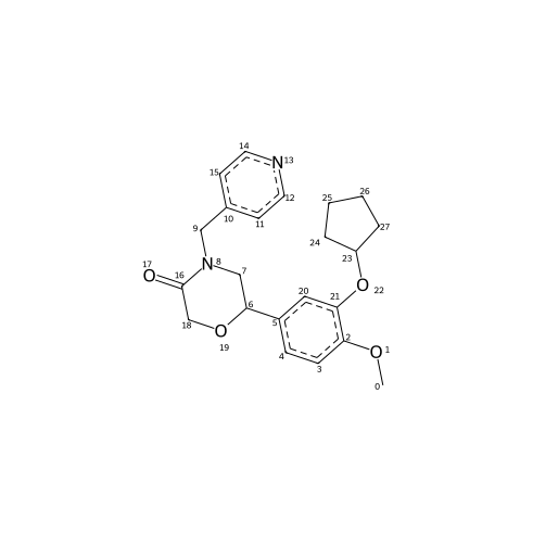 COc1ccc(C2CN(Cc3ccncc3)C(=O)CO2)cc1OC1CCCC1